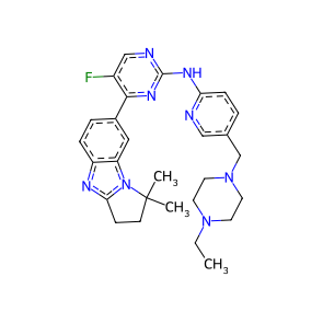 CCN1CCN(Cc2ccc(Nc3ncc(F)c(-c4ccc5nc6n(c5c4)C(C)(C)CC6)n3)nc2)CC1